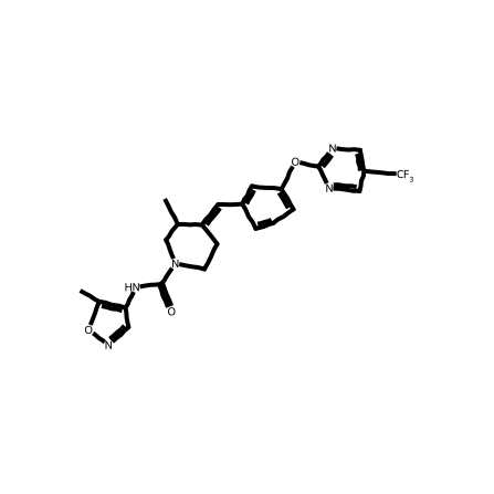 Cc1oncc1NC(=O)N1CCC(=Cc2cccc(Oc3ncc(C(F)(F)F)cn3)c2)C(C)C1